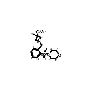 COC1(C)CN(Cc2ccccc2S(=O)(=O)N2CCOCC2)C1